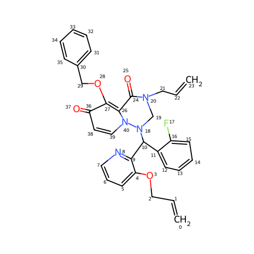 C=CCOc1cccnc1C(c1ccccc1F)N1CN(CC=C)C(=O)c2c(OCc3ccccc3)c(=O)ccn21